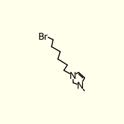 CN1C=CN(CCCCCCBr)C1